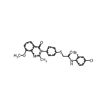 COc1cccc2c(=O)n(-c3ccc(SCC(=O)Nc4ccc(Cl)cc4Br)cc3)c(C)nc12